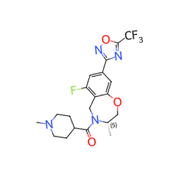 C[C@H]1COc2cc(-c3noc(C(F)(F)F)n3)cc(F)c2CN1C(=O)C1CCN(C)CC1